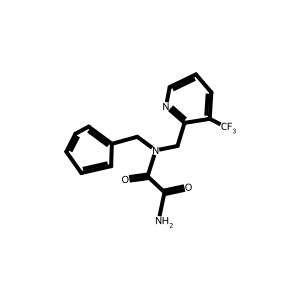 NC(=O)C(=O)N(Cc1ccccc1)Cc1ncccc1C(F)(F)F